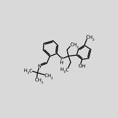 CCC(CC)(Pc1ccccc1/C=N/C(C)(C)C)c1cc(C)ccc1O